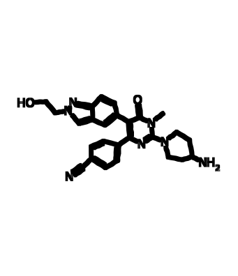 Cn1c(N2CCC(N)CC2)nc(-c2ccc(C#N)cc2)c(-c2ccc3nn(CCO)cc3c2)c1=O